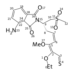 CCO/C(C=S)=C(/C=C\C[C@@H](CS(C)(=O)=O)N1C(=O)c2cccc(N)c2C1=O)OC